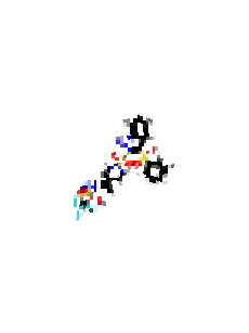 Cn1c(S(=O)(=O)N2CCC3(CC2)C[C@@H]3NS(=O)(=O)C(F)(F)F)c(S(=O)(=O)c2ccccc2F)c2ccccc21